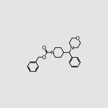 O=C(OCc1ccccc1)N1CCC(C(c2ccccc2)N2CCOCC2)CC1